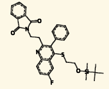 CC(C)(C)[Si](C)(C)OCCSc1c(-c2ccccc2)c(CCN2C(=O)c3ccccc3C2=O)nc2ccc(F)cc12